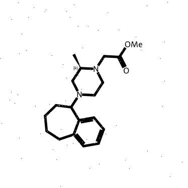 COC(=O)CN1CCN(C2CCCCc3ccccc32)C[C@H]1C